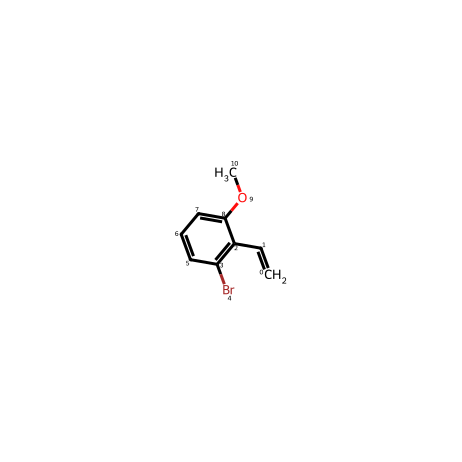 C=Cc1c(Br)cccc1OC